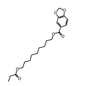 CCC(=O)OCCCCCCCCCOC(=O)c1ccc2c(c1)OCO2